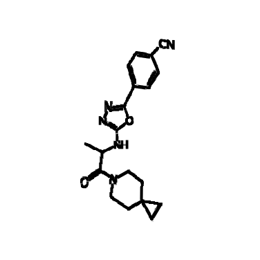 CC(Nc1nnc(-c2ccc(C#N)cc2)o1)C(=O)N1CCC2(CC1)CC2